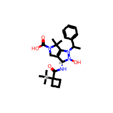 CC(c1ccccc1)N1C2=C(CN(C(=O)O)C2(C)C)[C@@H](NC(=O)C2([Si](C)(C)C)CCC2)N1O